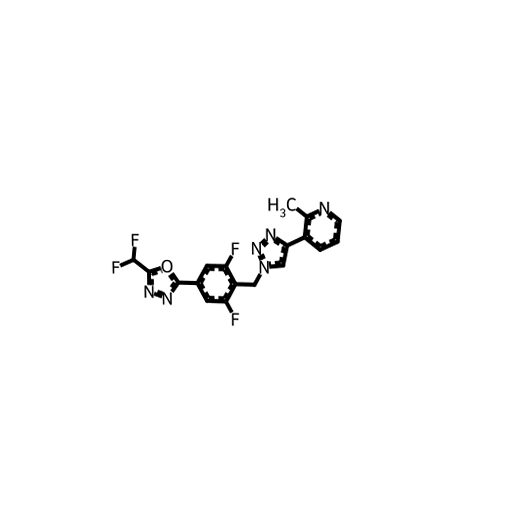 Cc1ncccc1-c1cn(Cc2c(F)cc(-c3nnc(C(F)F)o3)cc2F)nn1